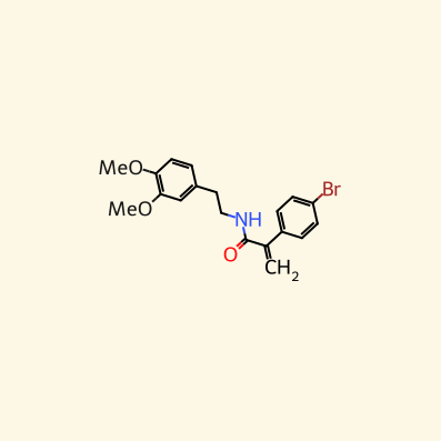 C=C(C(=O)NCCc1ccc(OC)c(OC)c1)c1ccc(Br)cc1